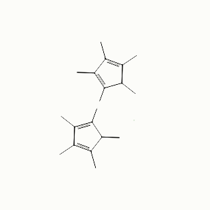 CC1=C(C)C(C)[C]([U][C]2=C(C)C(C)=C(C)C2C)=C1C.Cl.Cl